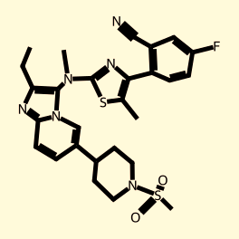 CCc1nc2ccc(C3CCN(S(C)(=O)=O)CC3)cn2c1N(C)c1nc(-c2ccc(F)cc2C#N)c(C)s1